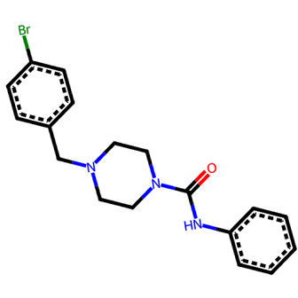 O=C(Nc1ccccc1)N1CCN(Cc2ccc(Br)cc2)CC1